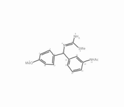 COc1ccc(C(/N=C(/N)SC)c2cccc(NC(C)=O)c2)cc1